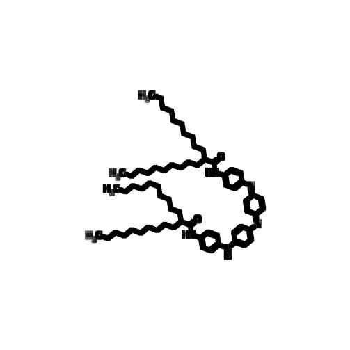 CCCCCCCCCCC(CCCCCCCCCC)C(=O)Nc1ccc(N=C2C=CC(=Nc3ccc(Nc4ccc(NC(=O)C(CCCCCCCCCC)CCCCCCCCCC)cc4)cc3)C=C2)cc1